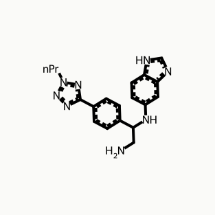 CCCn1nnc(-c2ccc(C(CN)Nc3ccc4[nH]cnc4c3)cc2)n1